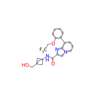 O=C(NC12CC(CO)(C1)C2)c1cn2cccc(-c3ccccc3OCC(F)(F)F)c2n1